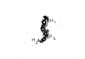 Cn1nccc1-c1ccc(CN2CCC(O)(Cn3cnc4c(-c5ccc(CN)cc5)n(C)nc4c3=O)CC2)c(Cl)c1